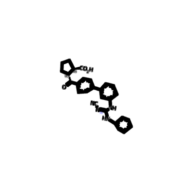 N#C/N=C(/Nc1ccccc1)Nc1cccc(-c2ccc(C(=O)[C@@H]3CCC[C@H]3C(=O)O)cc2)c1